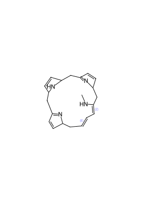 CN/C1=C\C=C\CC2C=CC(=N2)CC2C=CC(CC3=NC(C=C3)C1)N2